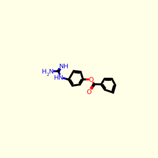 N=C(N)Nc1ccc(OC(=O)c2ccccc2)cc1